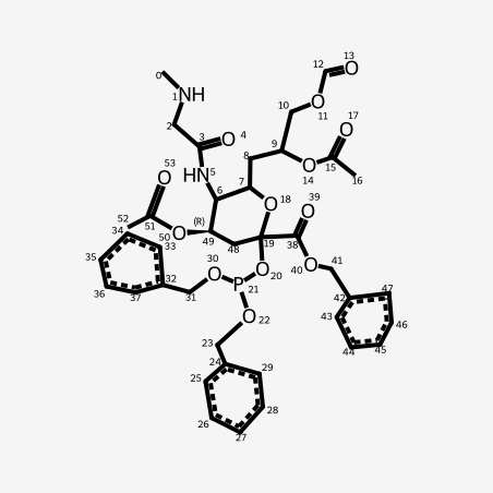 CNCC(=O)NC1C(CC(COC=O)OC(C)=O)OC(OP(OCc2ccccc2)OCc2ccccc2)(C(=O)OCc2ccccc2)C[C@H]1OC(C)=O